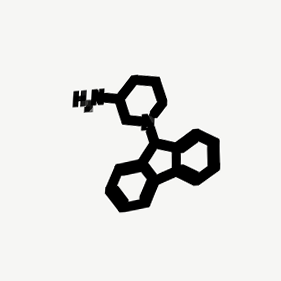 NC1CCCN(C2c3ccccc3-c3ccccc32)C1